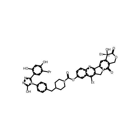 CCc1c2c(nc3ccc(OC(=O)N4CCC(Cc5ccc(-n6c(O)nnc6-c6cc(C(C)C)c(O)cc6O)cc5)CC4)cc13)-c1cc3c(c(=O)n1C2)COC(=O)[C@]3(O)CC